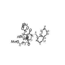 CCCC[C@H](NC(=O)[C@H](Cc1cccc2ccccc12)CS(=O)(=O)C[C@H](COC)OC(C)=O)C(=O)OC(C)(C)C